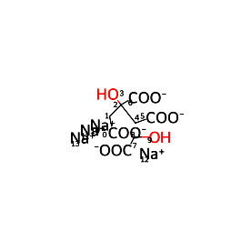 O=C([O-])CC(O)(CC(=O)[O-])C(=O)[O-].O=C([O-])CO.[Na+].[Na+].[Na+].[Na+]